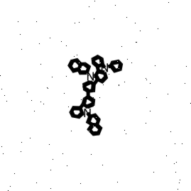 c1ccc(-n2c3ccccc3c3c2ccc2c4cc(-c5ccc6c(c5)c5ccccc5n6-c5ccc6ccccc6c5)ccc4n(-c4ccc5ccccc5c4)c23)cc1